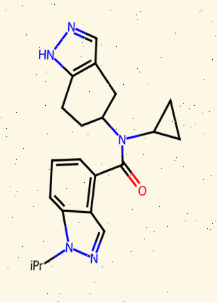 CC(C)n1ncc2c(C(=O)N(C3CC3)C3CCc4[nH]ncc4C3)cccc21